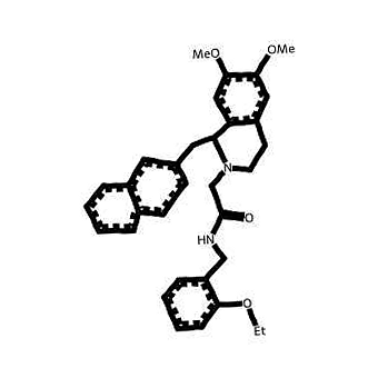 CCOc1ccccc1CNC(=O)CN1CCc2cc(OC)c(OC)cc2C1Cc1ccc2ccccc2c1